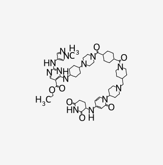 CCOC(=O)c1cnc(Nc2cnn(C)c2)nc1NC1CCC(N2CCN(C(=O)C3CCC(C(=O)N4CCC(CN5CCC(n6ccc(NC7CCC(=O)NC7=O)cc6=O)CC5)CC4)CC3)CC2)CC1